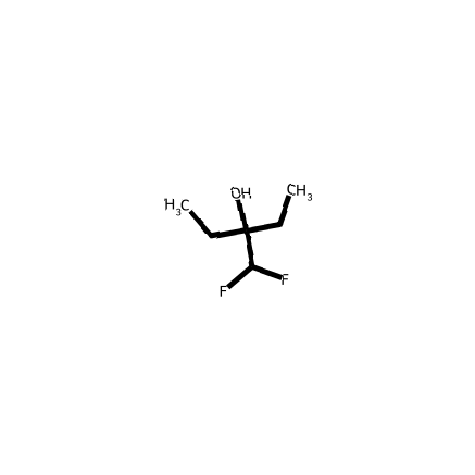 CCC(O)(CC)C(F)F